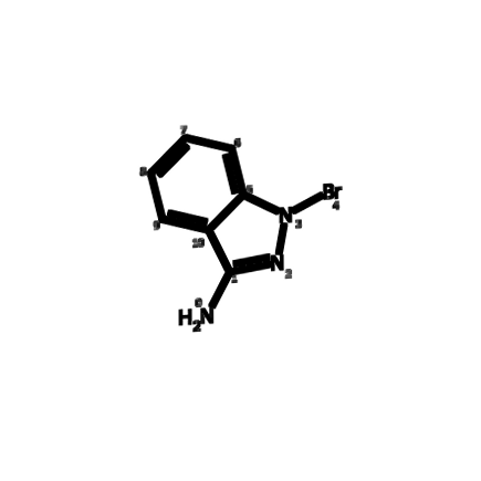 Nc1nn(Br)c2ccccc12